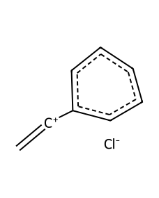 C=[C+]c1ccccc1.[Cl-]